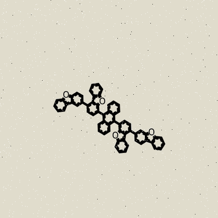 c1ccc2c(c1)oc1cc(-c3ccc(-c4c5ccccc5c(-c5ccc(-c6ccc7oc8ccccc8c7c6)c6c5oc5ccccc56)c5ccccc45)c4oc5ccccc5c34)ccc12